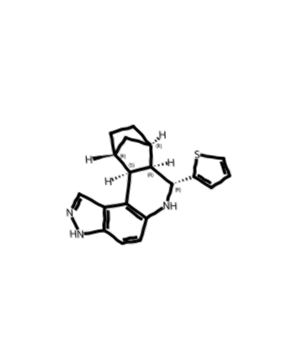 c1csc([C@@H]2Nc3ccc4[nH]ncc4c3[C@H]3[C@@H]4CC[C@H](C4)[C@H]32)c1